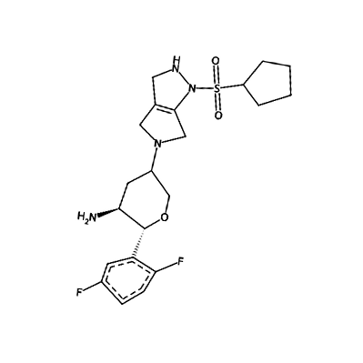 N[C@H]1CC(N2CC3=C(C2)N(S(=O)(=O)C2CCCC2)NC3)CO[C@@H]1c1cc(F)ccc1F